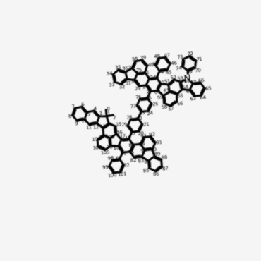 CC1(C)c2cc3ccccc3cc2-c2c1cc1c3c(-c4ccc(-c5ccc(-c6c7cc8c9ccccc9c9cccc(c7c(-c7ccccc7)c7c%10cc%11c(c%12cccc(c67)c%10%12)c6ccccc6n%11-c6ccccc6)c98)cc5)cc4)c4c(cc5c6ccccc6c6cccc4c65)c(-c4ccccc4)c3c3cccc2c31